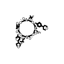 CC(C)C[C@H]1C(=O)O[C@H](C)C(=O)N(C)[C@@H](CCC(C)(C)F)C(=O)O[C@H](Cc2ccc(C3CCOCC3)cc2)C(=O)N(C)C2(CC2)C(=O)O[C@H](C)C(=O)N(C)[C@@H](CC(C)(C)F)C(=O)O[C@H](Cc2ccc(C3CCOCC3)cc2)C(=O)N1C